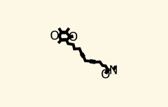 CC1=C(C)C(=O)C(CCCCC#CCC#CCCCC(=O)N(C)C)=C(C)C1=O